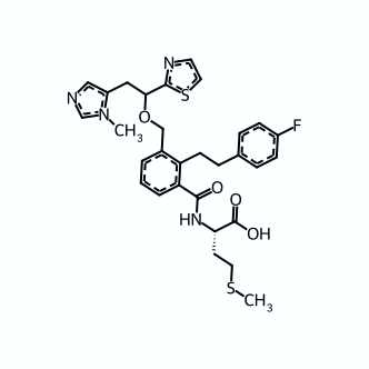 CSCC[C@H](NC(=O)c1cccc(COC(Cc2cncn2C)c2nccs2)c1CCc1ccc(F)cc1)C(=O)O